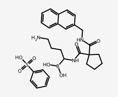 NCCCC(NC(=O)C1(C(=O)NCc2ccc3ccccc3c2)CCCC1)B(O)O.O=S(=O)(O)c1ccccc1